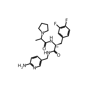 CC(C(=O)N[C@@H](Cc1ccc(F)c(F)c1)C(=O)NCc1ccc(N)nc1)N1CCCC1